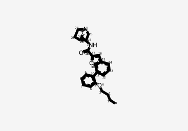 CCCCOc1ccccc1-c1cccc2cc(C(=O)NC3CN4CCC3CC4)oc12